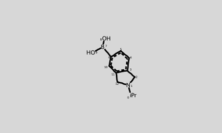 CC(C)N1Cc2ccc(B(O)O)cc2C1